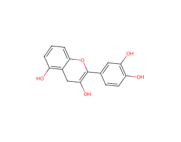 OC1=C(c2ccc(O)c(O)c2)Oc2cccc(O)c2C1